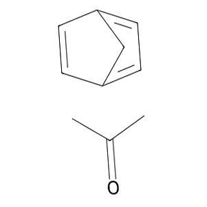 C1=CC2=CC=C1C2.CC(C)=O